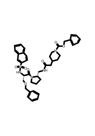 O=C(CC1CCN(C(=O)OCc2ccccc2)CC1)NC[C@@H]1CCCN1C(=O)[C@H](COCc1ccccc1)NS(=O)(=O)c1ccc2ccccc2c1